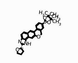 CC1(C)OB(c2ccc3c(c2)COc2cc4c(ccc5nc([C@@H]6CCCO6)[nH]c54)cc2-3)OC1(C)C